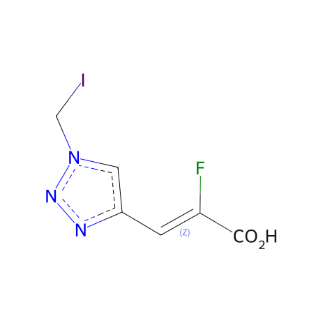 O=C(O)/C(F)=C/c1cn(CI)nn1